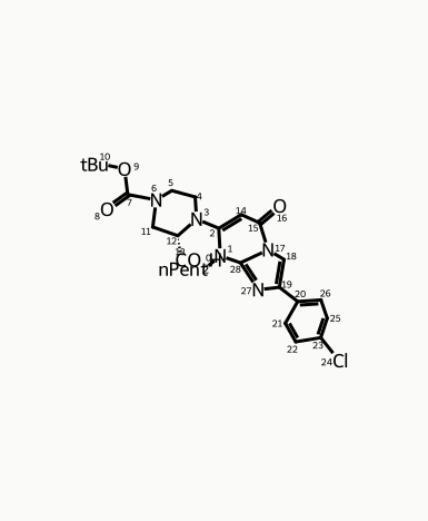 CCCCCn1c(N2CCN(C(=O)OC(C)(C)C)C[C@H]2C(=O)O)cc(=O)n2cc(-c3ccc(Cl)cc3)nc12